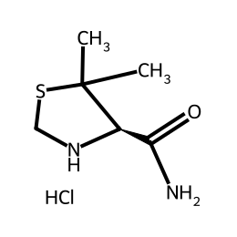 CC1(C)SCN[C@@H]1C(N)=O.Cl